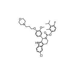 COc1cc(C2c3[nH]c4ccc(Cl)cc4c3CCN2C(=O)Oc2ccc(F)c(C(C)C)c2C)ccc1OCCCN1CCOCC1